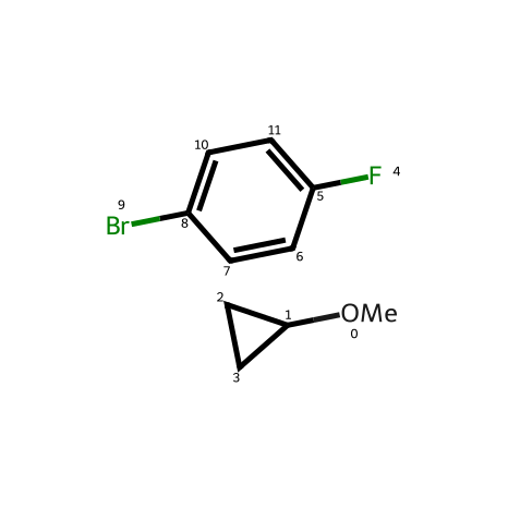 COC1CC1.Fc1ccc(Br)cc1